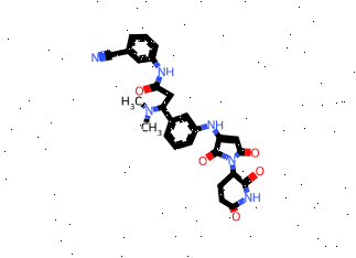 CN(C)C(CC(=O)Nc1cccc(C#N)c1)c1cccc(NC2=CC(=O)N(C3CCC(=O)NC3=O)C2=O)c1